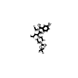 CCCC(c1nc2ccc(Br)cc2c(=O)n1CC)N1CCN(C(=O)OC(C)(C)C)CC1